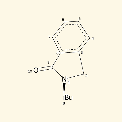 CC[C@H](C)N1Cc2ccccc2C1=O